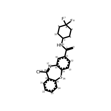 C=C(NC1CCC(F)(F)CC1)c1ccc2c(c1)N=C(Cl)c1ccccc1S2